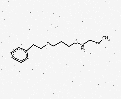 CCC[SiH2]OCCCOCCc1ccccc1